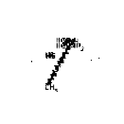 CCCCCCCCCCCCCCCCCCCC(=C(N)N)C(O)C(O)O.F.F